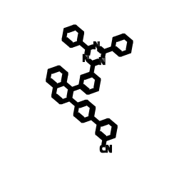 N#Cc1cccc(-c2ccc(-c3ccc4ccccc4c3-c3cccc(-c4nc(-c5ccccc5)nc(-c5ccccc5)n4)c3)cc2)c1